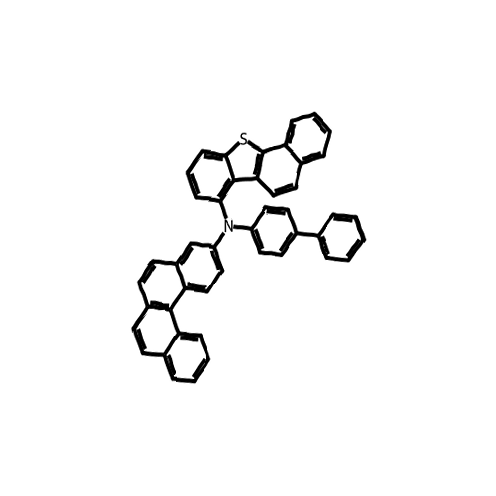 c1ccc(-c2ccc(N(c3ccc4c(ccc5ccc6ccccc6c54)c3)c3cccc4sc5c6ccccc6ccc5c34)cc2)cc1